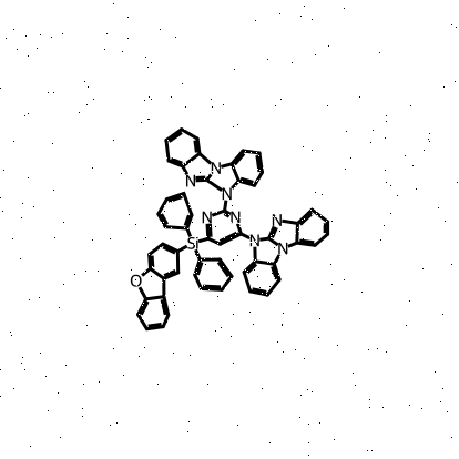 c1ccc([Si](c2ccccc2)(c2ccc3oc4ccccc4c3c2)c2cc(-n3c4ccccc4n4c5ccccc5nc34)nc(-n3c4ccccc4n4c5ccccc5nc34)n2)cc1